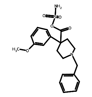 COc1cccc(C2(C(=O)OS(N)(=O)=O)CCN(Cc3ccccc3)CC2)c1